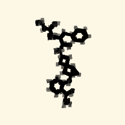 CC(C)(C)OC(=O)N[C@@H](Cc1ccccc1)C(=O)N[C@H]1C[C@@]2(C[C@@]3(Oc4ncccc4C(N)=O)CC23)C1